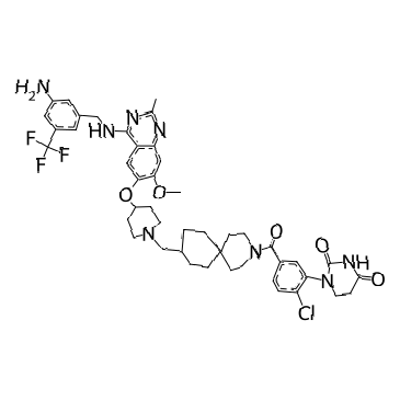 COc1cc2nc(C)nc(NCc3cc(N)cc(C(F)(F)F)c3)c2cc1OC1CCN(CC2CCC3(CC2)CCN(C(=O)c2ccc(Cl)c(N4CCC(=O)NC4=O)c2)CC3)CC1